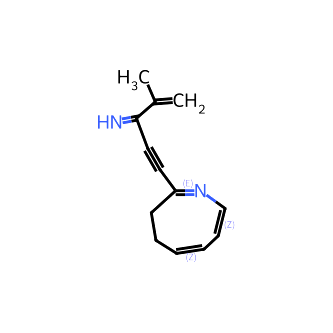 C=C(C)C(=N)C#C/C1=N/C=C\C=C/CC1